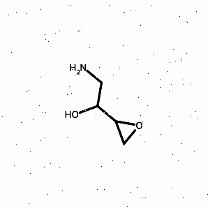 NCC(O)C1CO1